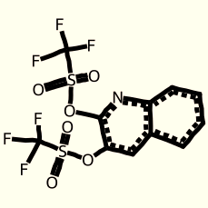 O=S(=O)(Oc1cc2ccccc2nc1OS(=O)(=O)C(F)(F)F)C(F)(F)F